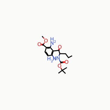 CCCC(NC(=O)OC(C)(C)C)C(=O)c1c(N)ccc(C(=O)OC)c1N